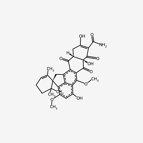 COc1cc(O)c2c(OC)c3c(c4c2c1[C@@]1(C4)C(C)=CCCC1(C)C)C(=O)[C@@H]1CC(O)=C(C(N)=O)C(=O)[C@]1(O)C3=O